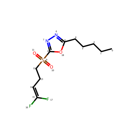 CCCCCc1nnc(S(=O)(=O)CCC=C(F)F)o1